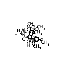 COc1cc(OC)c2c(c1)OC13C(C4OC1C1(C)C(OC)OC(OC)C41C)[C@@H](C(=O)N(C)OC)[C@@H](O)[C@@]23O